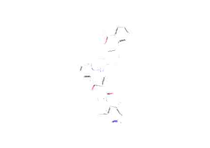 O=C(Nc1c(Cl)cncc1Cl)c1cn([C@H]2CC[C@H](c3ccccc3C(=O)O)CC2)c2ncccc2c1=O